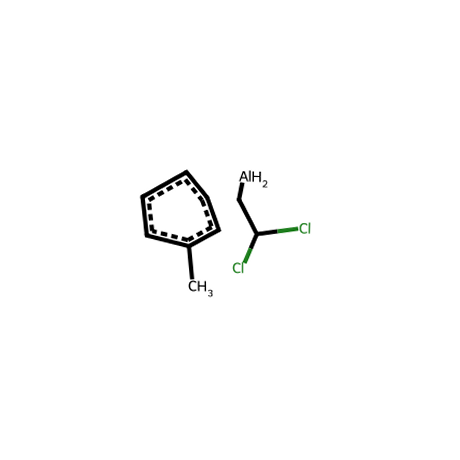 Cc1ccccc1.[AlH2][CH2]C(Cl)Cl